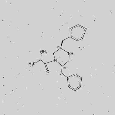 CC(N)C(=O)N1C[C@@H](Cc2ccccc2)NC[C@@H]1Cc1ccccc1